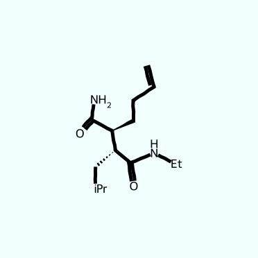 C=CCC[C@H](C(N)=O)[C@@H](CC(C)C)C(=O)NCC